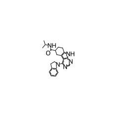 CC(C)NC(=O)C1CCc2[nH]c3ncnc(N4CCc5ccccc54)c3c2C1